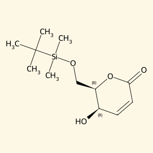 CC(C)(C)[Si](C)(C)OC[C@H]1OC(=O)C=C[C@H]1O